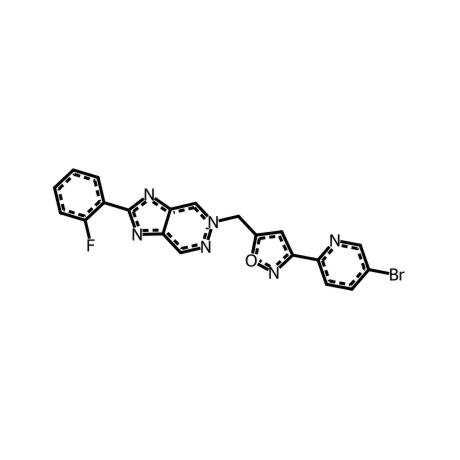 Fc1ccccc1-c1nc2cnn(Cc3cc(-c4ccc(Br)cn4)no3)cc-2n1